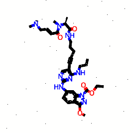 CCCNc1nc(Nc2ccc3c(OC)nn(C(=O)OCC)c3c2)ncc1C#CCCCNC(=O)[C@H](C)N(C)C(=O)/C=C/CN(C)C